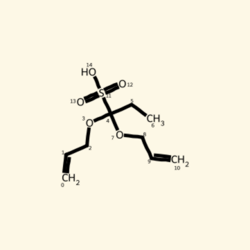 C=CCOC(CC)(OCC=C)S(=O)(=O)O